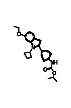 CCOc1ccc2cc(-c3ccc(NC(=O)OC(C)C)cc3)n(C3CCC3)c2c1